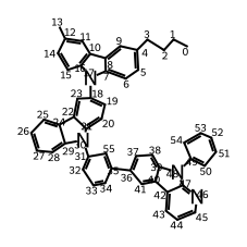 CCCCc1ccc2c(c1)c1cc(C)ccc1n2-c1ccc2c(c1)c1ccccc1n2-c1cccc(-c2ccc3c(c2)c2cccnc2n3-c2ccccc2)c1